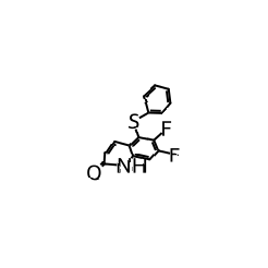 O=c1ccc2c(Sc3ccccc3)c(F)c(F)cc2[nH]1